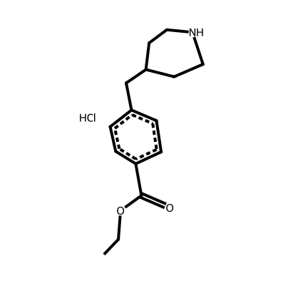 CCOC(=O)c1ccc(CC2CCNCC2)cc1.Cl